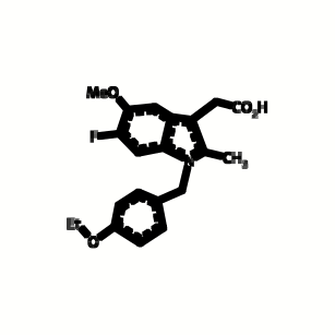 CCOc1ccc(Cn2c(C)c(CC(=O)O)c3cc(OC)c(F)cc32)cc1